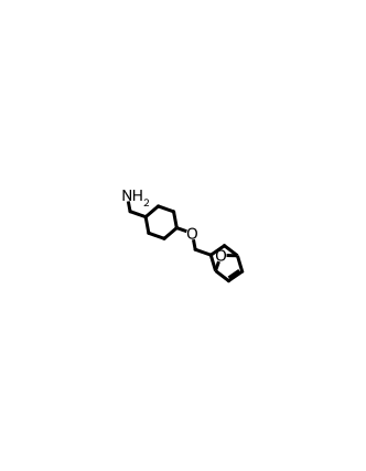 NCC1CCC(OCC2CC3C=CC2O3)CC1